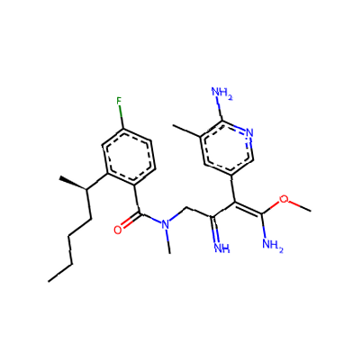 CCCC[C@@H](C)c1cc(F)ccc1C(=O)N(C)CC(=N)/C(=C(\N)OC)c1cnc(N)c(C)c1